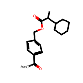 COC(=O)c1ccc(COC(=O)C(C)C2CCCCC2)cc1